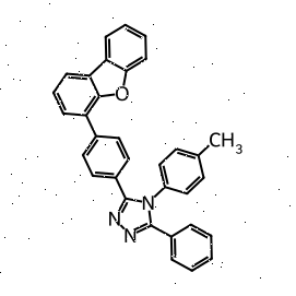 Cc1ccc(-n2c(-c3ccccc3)nnc2-c2ccc(-c3cccc4c3oc3ccccc34)cc2)cc1